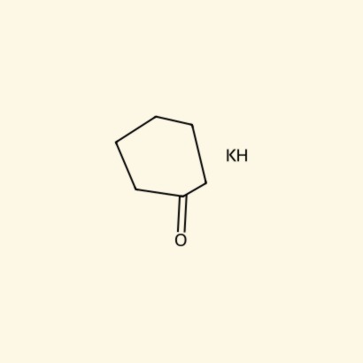 O=C1CCCCC1.[KH]